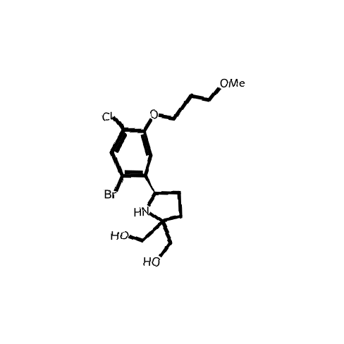 COCCCOc1cc([C@H]2CCC(CO)(CO)N2)c(Br)cc1Cl